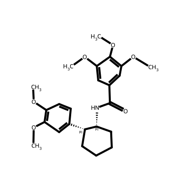 COc1ccc([C@H]2CCCC[C@H]2NC(=O)c2cc(OC)c(OC)c(OC)c2)cc1OC